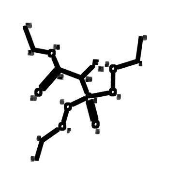 CCOOP(=O)(OOCC)C(F)C(=O)OCC